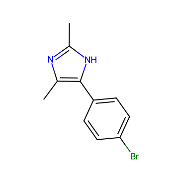 Cc1nc(C)c(-c2ccc(Br)cc2)[nH]1